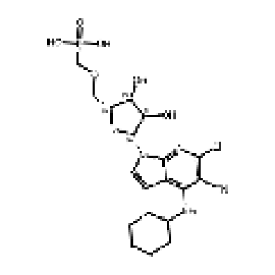 N#Cc1c(Cl)nc2c(ccn2[C@@H]2O[C@H](COCP(=O)(O)O)[C@@H](O)[C@H]2O)c1NC1CCCCC1